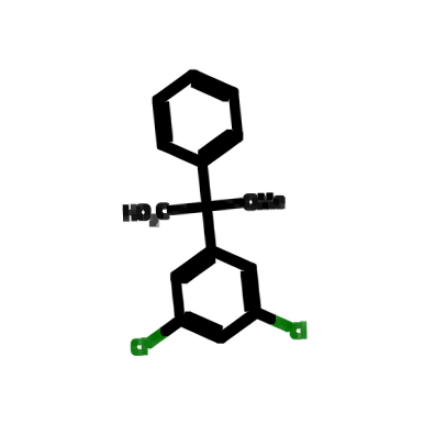 COC(C(=O)O)(c1ccccc1)c1cc(Cl)cc(Cl)c1